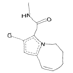 CNC(=O)c1c(Cl)cc2n1CCCC=C2